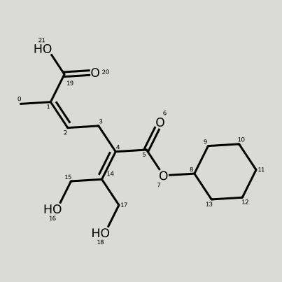 CC(=CCC(C(=O)OC1CCCCC1)=C(CO)CO)C(=O)O